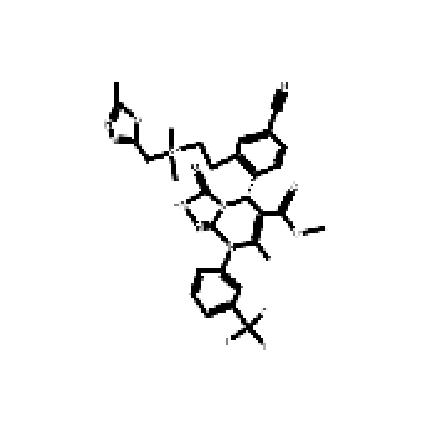 COC(=O)C1=C(C)N(c2cccc(C(F)(F)F)c2)c2n[nH]c(=O)n2[C@@H]1c1ccc(C#N)cc1CC[N+](C)(C)Cc1nnc(C)o1